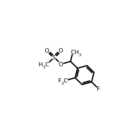 CC(OS(C)(=O)=O)c1ccc(F)cc1C(F)(F)F